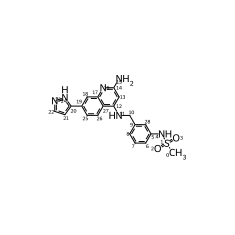 CS(=O)(=O)Nc1cccc(CNc2cc(N)nc3cc(-c4ccn[nH]4)ccc23)c1